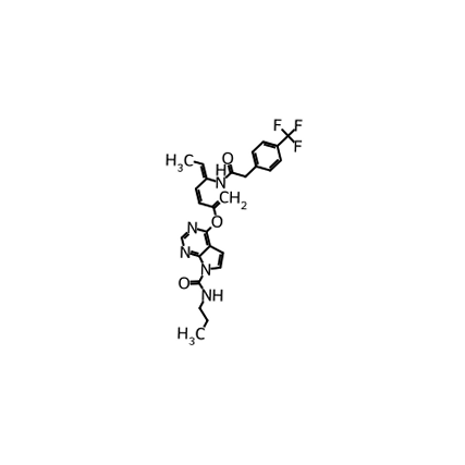 C=C(/C=C\C(=C/C)NC(=O)Cc1ccc(C(F)(F)F)cc1)Oc1ncnc2c1ccn2C(=O)NCCC